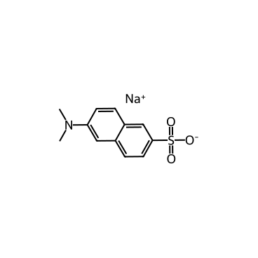 CN(C)c1ccc2cc(S(=O)(=O)[O-])ccc2c1.[Na+]